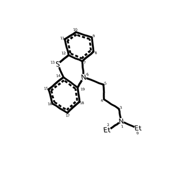 CCN(CC)CCCN1c2ccccc2Sc2ccccc21